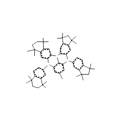 Cc1cc2c3c(c1)N(c1ccc4c(c1)C(C)(C)CC4(C)C)c1cc4c(cc1B3c1cc3c(cc1N2c1ccc2c(c1)C(C)(C)CCC2(C)C)C(C)(C)CCC3(C)C)C(C)(C)CC4(C)C